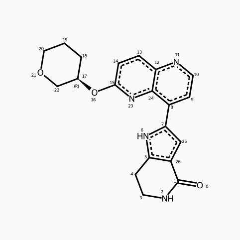 O=C1NCCc2[nH]c(-c3ccnc4ccc(O[C@@H]5CCCOC5)nc34)cc21